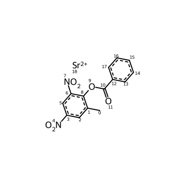 Cc1cc([N+](=O)[O-])cc([N+](=O)[O-])c1OC(=O)c1ccccc1.[Sr+2]